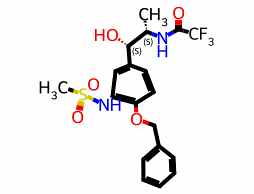 C[C@H](NC(=O)C(F)(F)F)[C@@H](O)c1ccc(OCc2ccccc2)c(NS(C)(=O)=O)c1